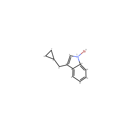 Brn1cc(CC2CC2)c2ccccc21